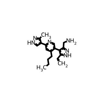 C=Cc1[nH]nc(CN)c1-c1cnc(-c2c[nH]nc2C)cc1CCCC